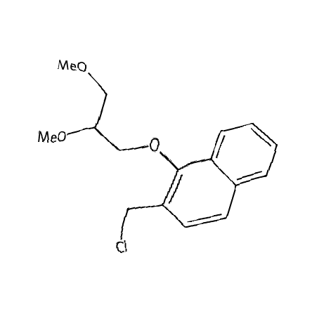 COCC(COc1c(CCl)ccc2ccccc12)OC